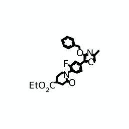 CCOC(=O)C1CCN(c2ccc(-c3ccc(C)nc3OCc3ccccc3)cc2F)C(=O)C1